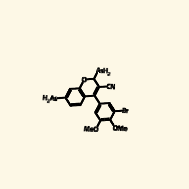 COc1cc(C2=C(C#N)C([AsH2])Oc3cc([AsH2])ccc32)cc(Br)c1OC